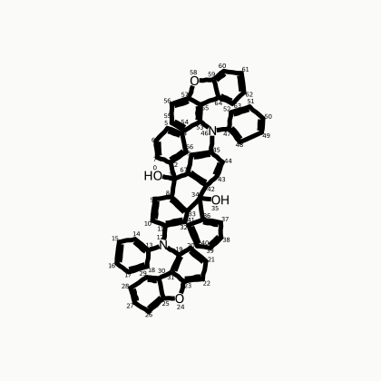 OC1(c2ccccc2)c2ccc(N(c3ccccc3)c3cccc4oc5ccccc5c34)cc2C(O)(c2ccccc2)c2ccc(N(c3ccccc3)c3cccc4oc5ccccc5c34)cc21